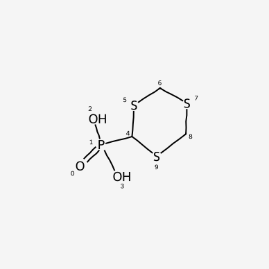 O=P(O)(O)C1SCSCS1